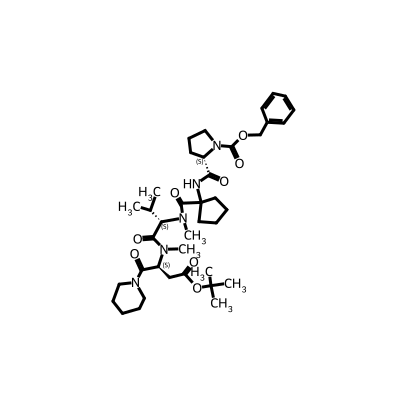 CC(C)[C@@H](C(=O)N(C)[C@@H](CC(=O)OC(C)(C)C)C(=O)N1CCCCC1)N(C)C(=O)C1(NC(=O)[C@@H]2CCCN2C(=O)OCc2ccccc2)CCCC1